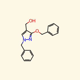 OCc1cn(Cc2ccccc2)nc1OCc1ccccc1